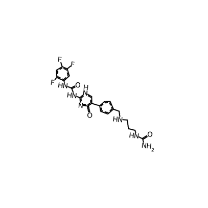 NC(=O)NCCCNCc1ccc(-c2c[nH]c(NC(=O)Nc3cc(F)c(F)cc3F)nc2=O)cc1